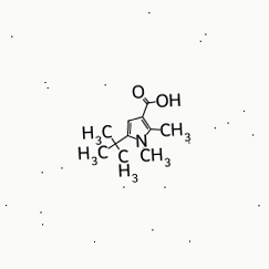 Cc1c(C(=O)O)cc(C(C)(C)C)n1C